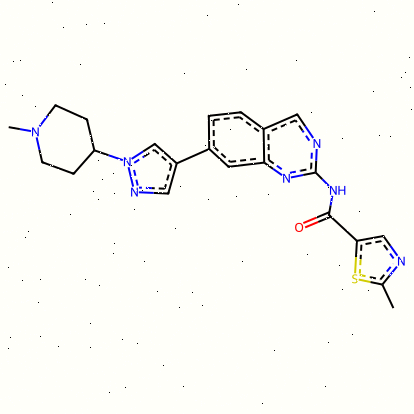 Cc1ncc(C(=O)Nc2ncc3ccc(-c4cnn(C5CCN(C)CC5)c4)cc3n2)s1